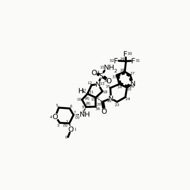 CO[C@@H]1COCC[C@@H]1N[C@@H]1C[C@H]2CN(S(N)(=O)=O)C[C@@]2(C(=O)N2CCc3ncc(C(F)(F)F)cc3C2)C1